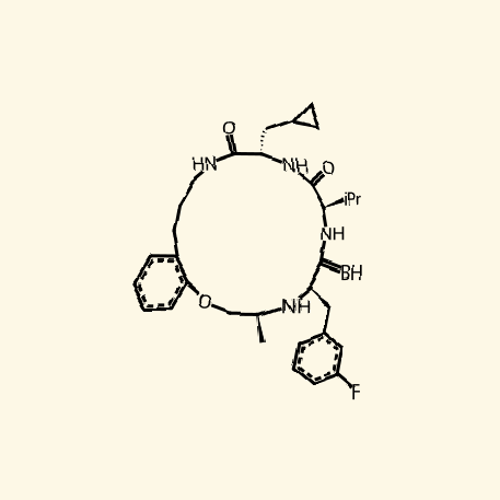 B=C1N[C@H](C(C)C)C(=O)N[C@@H](CC2CC2)C(=O)NCCCc2ccccc2OC[C@H](C)N[C@@H]1Cc1cccc(F)c1